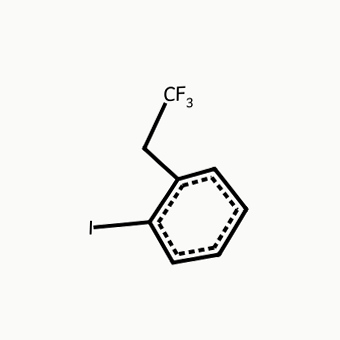 FC(F)(F)Cc1ccccc1I